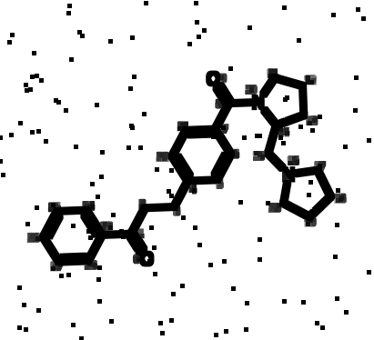 O=C(CCc1ccc(C(=O)N2CCCC2CN2CCCC2)cc1)c1ccccc1